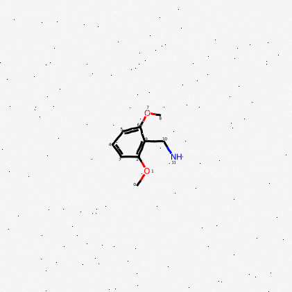 COc1cccc(OC)c1C[NH]